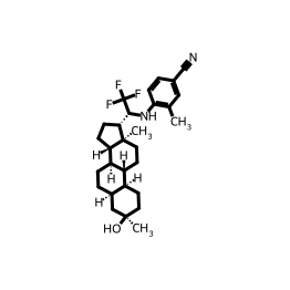 Cc1cc(C#N)ccc1NC([C@H]1CC[C@H]2[C@@H]3CC[C@@H]4C[C@](C)(O)CC[C@@H]4[C@H]3CC[C@]12C)C(F)(F)F